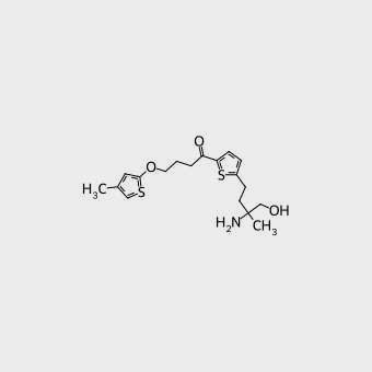 Cc1csc(OCCCC(=O)c2ccc(CCC(C)(N)CO)s2)c1